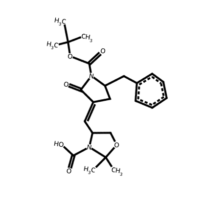 CC(C)(C)OC(=O)N1C(=O)C(=CC2COC(C)(C)N2C(=O)O)CC1Cc1ccccc1